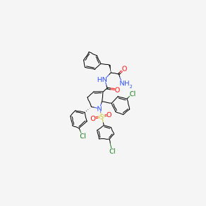 NC(=O)[C@H](Cc1ccccc1)NC(=O)C1=CC[C@@H](c2cccc(Cl)c2)N(S(=O)(=O)c2ccc(Cl)cc2)C1c1cccc(Cl)c1